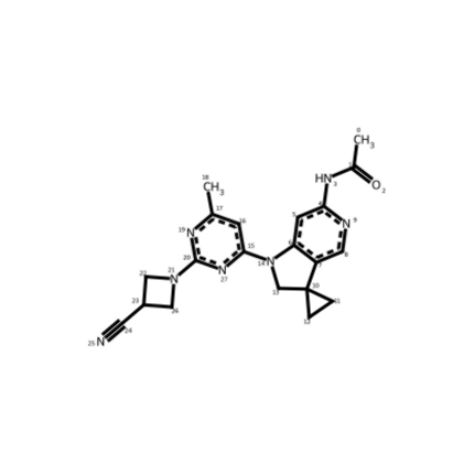 CC(=O)Nc1cc2c(cn1)C1(CC1)CN2c1cc(C)nc(N2CC(C#N)C2)n1